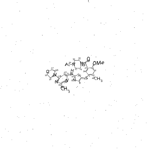 COc1cc(C)c(Sc2cnc(Nc3cc(N4CCOCC4)nc(C)n3)s2)cc1C(=O)N1CCN(C(C)=O)CC1